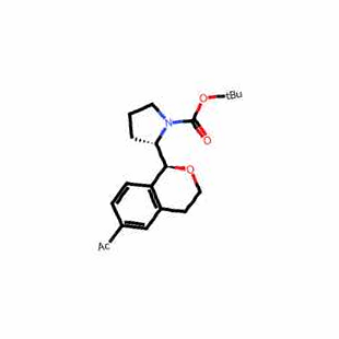 CC(=O)c1ccc2c(c1)CCO[C@@H]2[C@@H]1CCCN1C(=O)OC(C)(C)C